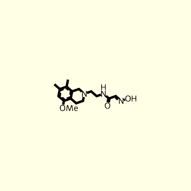 COc1cc(C)c(C)c2c1CCN(CCNC(=O)/C=N/O)C2